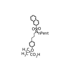 CCCCCN(CCCc1ccc(OC(C)(C)C(=O)O)cc1)S(=O)(=O)c1ccc2ccccc2c1